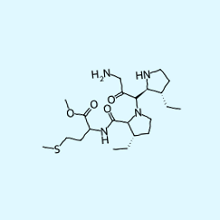 CC[C@H]1CCN(C(C(=O)CN)[C@H]2NCC[C@@H]2CC)C1C(=O)NC(CCSC)C(=O)OC